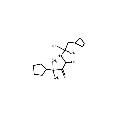 CC(NC(C)(C)CC1CCC1)C(=O)C(C)(C)C1CCCC1